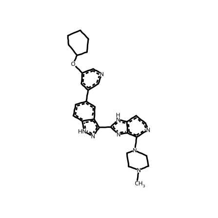 CN1CCN(c2nccc3[nH]c(-c4n[nH]c5ccc(-c6cncc(OC7CCCCC7)c6)cc45)nc23)CC1